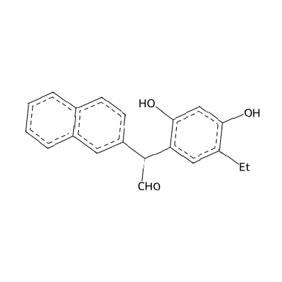 CCc1cc(C(C=O)c2ccc3ccccc3c2)c(O)cc1O